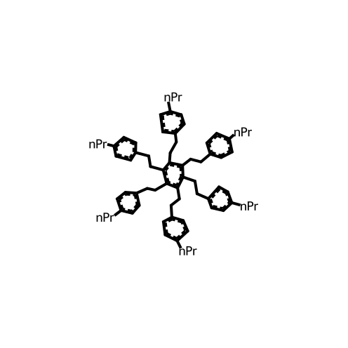 CCCc1ccc(CCc2c(CCc3ccc(CCC)cc3)c(CCc3ccc(CCC)cc3)c(CCc3ccc(CCC)cc3)c(CCc3ccc(CCC)cc3)c2CCc2ccc(CCC)cc2)cc1